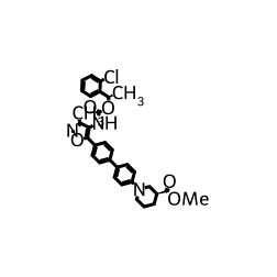 COC(=O)[C@H]1CCCN(c2ccc(-c3ccc(-c4onc(C)c4NC(=O)O[C@H](C)c4ccccc4Cl)cc3)cc2)C1